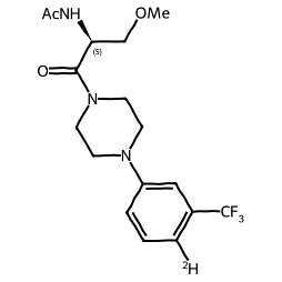 [2H]c1ccc(N2CCN(C(=O)[C@H](COC)NC(C)=O)CC2)cc1C(F)(F)F